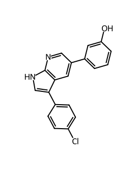 Oc1cccc(-c2cnc3[nH]cc(-c4ccc(Cl)cc4)c3c2)c1